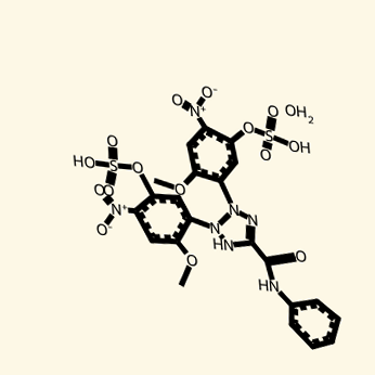 COc1cc([N+](=O)[O-])c(OS(=O)(=O)O)cc1N1N=C(C(=O)Nc2ccccc2)NN1c1cc(OS(=O)(=O)O)c([N+](=O)[O-])cc1OC.O